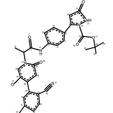 CC(C(=O)Nc1ccc(-c2cc(=O)[nH]n2C(=O)OC(C)(C)C)cc1)n1cc(Cl)c(-c2cc(Cl)ccc2C#N)cc1=O